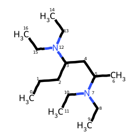 CCCC(CC(C)N(CC)CC)N(CC)CC